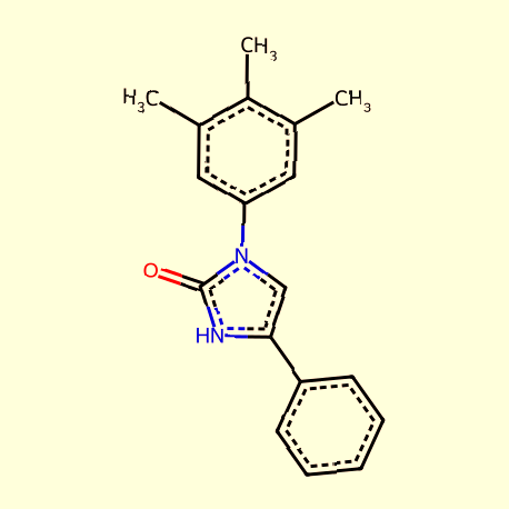 Cc1cc(-n2cc(-c3ccccc3)[nH]c2=O)cc(C)c1C